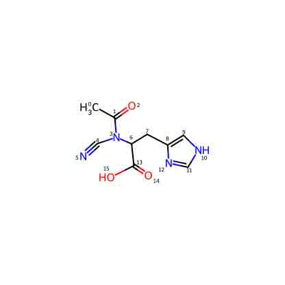 CC(=O)N(C#N)C(Cc1c[nH]cn1)C(=O)O